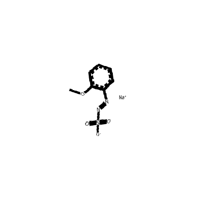 COc1ccccc1N=NS(=O)(=O)[O-].[Na+]